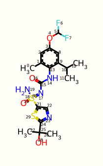 Cc1cc(OC(F)F)cc(C(C)C)c1NC(=O)N=[S@@](N)(=O)c1cnc(C(C)(C)O)s1